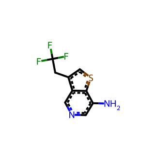 Nc1cncc2c(CC(F)(F)F)csc12